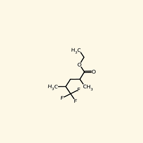 CCOC(=O)C(C)CC(C)C(F)(F)F